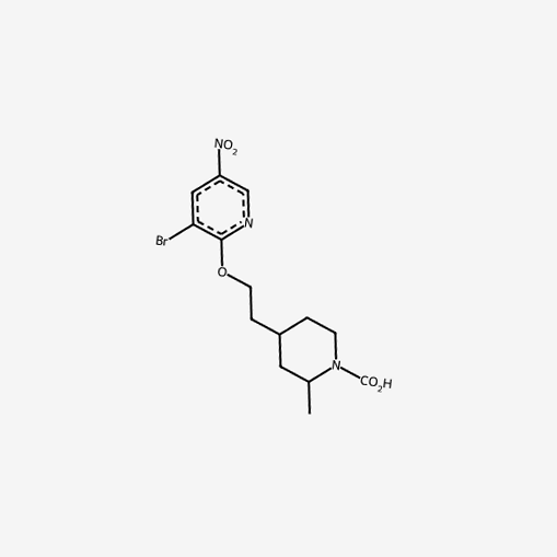 CC1CC(CCOc2ncc([N+](=O)[O-])cc2Br)CCN1C(=O)O